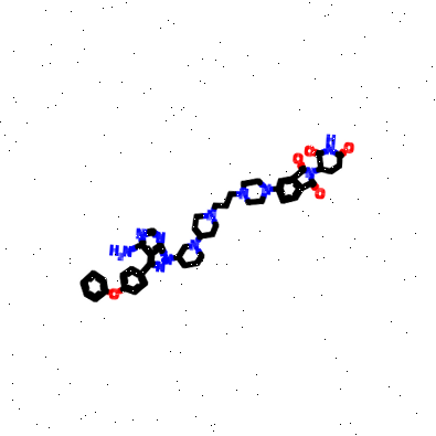 Nc1ncnc2c1c(-c1ccc(Oc3ccccc3)cc1)nn2C1CCCN(C2CCN(CCCN3CCN(c4ccc5c(c4)C(=O)N(C4CCC(=O)NC4=O)C5=O)CC3)CC2)C1